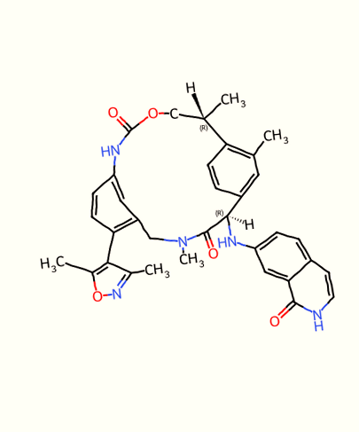 Cc1cc2ccc1[C@@H](C)COC(=O)Nc1ccc(-c3c(C)noc3C)c(c1)CN(C)C(=O)[C@@H]2Nc1ccc2cc[nH]c(=O)c2c1